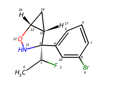 CC(F)[C@]1(c2cccc(Br)c2)NO[C@@H]2C[C@@H]21